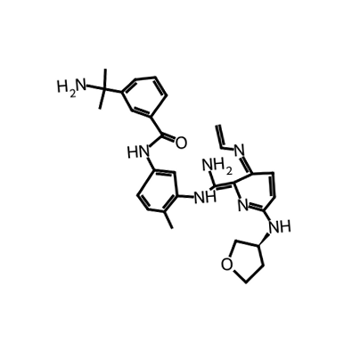 C=C/N=C1/C=CC(N[C@H]2CCOC2)=N/C1=C(/N)Nc1cc(NC(=O)c2cccc(C(C)(C)N)c2)ccc1C